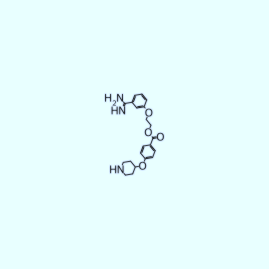 N=C(N)c1cccc(OCCOC(=O)c2ccc(OC3CCNCC3)cc2)c1